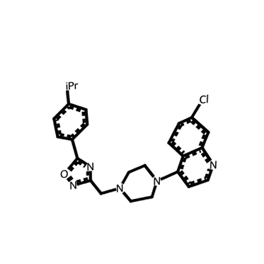 CC(C)c1ccc(-c2nc(CN3CCN(c4ccnc5cc(Cl)ccc45)CC3)no2)cc1